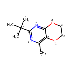 Cc1nc(C(C)(C)C)nc2c1OCCO2